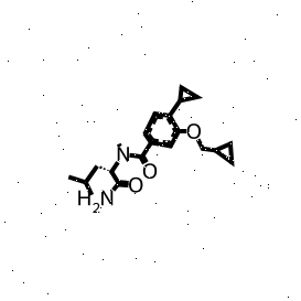 CC(C)C[C@@H](C(N)=O)N(C)C(=O)c1ccc(C2CC2)c(OCC2CC2)c1